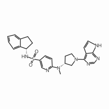 CN(c1ccc(S(=O)(=O)N[C@H]2CCc3ccccc32)cn1)[C@@H]1CCN(c2ncnc3[nH]ccc23)C1